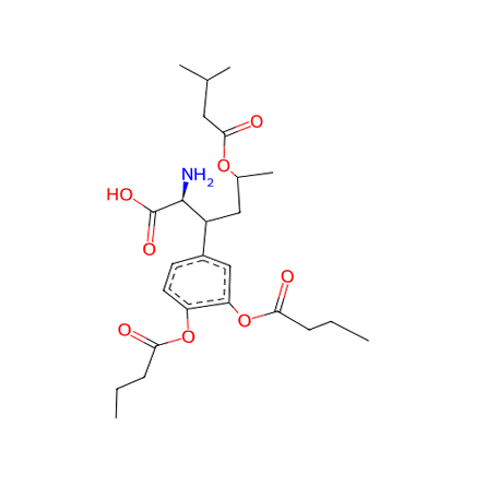 CCCC(=O)Oc1ccc(C(CC(C)OC(=O)CC(C)C)[C@H](N)C(=O)O)cc1OC(=O)CCC